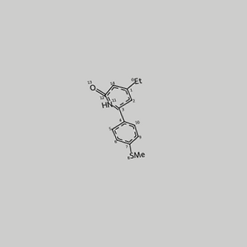 CCc1cc(-c2ccc(SC)cc2)[nH]c(=O)c1